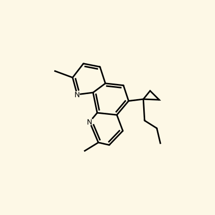 CCCC1(c2cc3ccc(C)nc3c3nc(C)ccc23)CC1